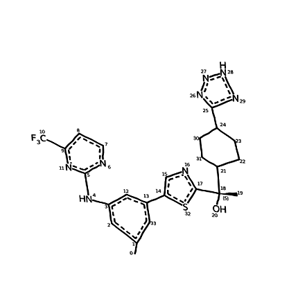 Cc1cc(Nc2nccc(C(F)(F)F)n2)cc(-c2cnc([C@@](C)(O)C3CCC(c4nn[nH]n4)CC3)s2)c1